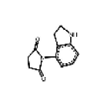 O=C1CCC(=O)N1c1cccc2c1CCN2